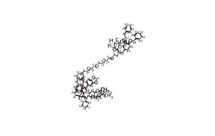 CC(C)(C)OC(=O)N(CCOCCOCCOCCOCCN1CCN(C[C@@H]2Cc3ccccc3CN2C(=O)c2cc3c(cc2-c2cc(C(=O)N(c4ccccc4)c4ccc(O[Si](C)(C)C(C)(C)C)cc4)c4n2CCCC4)OCO3)CC1)Cc1ccc(OCc2ccccc2)c(OCCc2ccccc2)c1